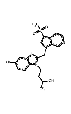 CS(=O)(=O)c1nn(Cc2nc3cc(Cl)ccc3n2CCC(O)C(F)(F)F)c2cnccc12